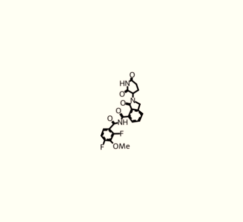 COc1c(F)ccc(C(=O)NC(=O)c2cccc3c2C(=O)N(C2CCC(=O)NC2=O)C3)c1F